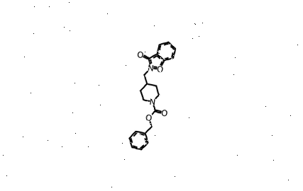 O=C(OCc1ccccc1)N1CCC(Cn2oc3ccccc3c2=O)CC1